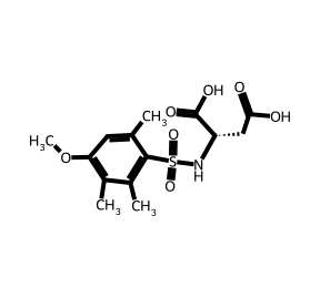 COc1cc(C)c(S(=O)(=O)N[C@@H](CC(=O)O)C(=O)O)c(C)c1C